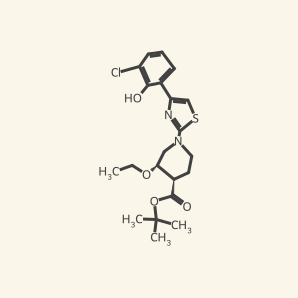 CCO[C@H]1CN(c2nc(-c3cccc(Cl)c3O)cs2)CC[C@H]1C(=O)OC(C)(C)C